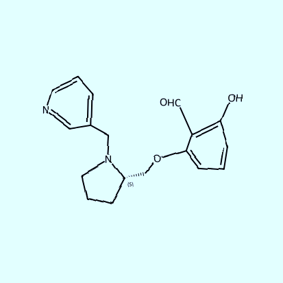 O=Cc1c(O)cccc1OC[C@@H]1CCCN1Cc1cccnc1